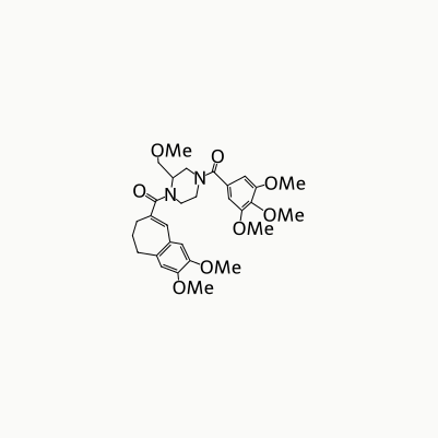 COCC1CN(C(=O)c2cc(OC)c(OC)c(OC)c2)CCN1C(=O)C1=Cc2cc(OC)c(OC)cc2CCC1